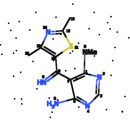 CNc1ncnc(N)c1C(=N)c1sc(C)nc1C